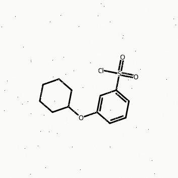 O=S(=O)(Cl)c1cccc(OC2CCCCC2)c1